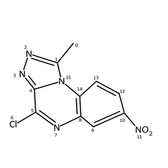 Cc1nnc2c(Cl)nc3cc([N+](=O)[O-])ccc3n12